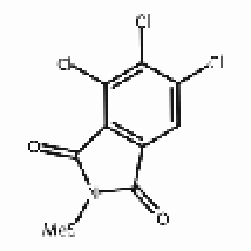 CSN1C(=O)c2cc(Cl)c(Cl)c(Cl)c2C1=O